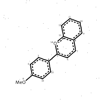 COc1ccc(-c2ccc3ccccc3[o+]2)cc1